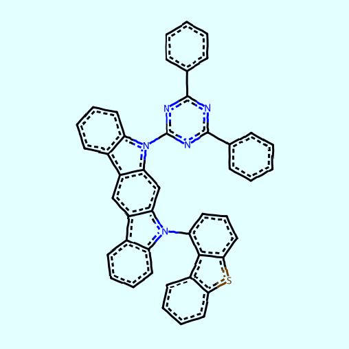 c1ccc(-c2nc(-c3ccccc3)nc(-n3c4ccccc4c4cc5c6ccccc6n(-c6cccc7sc8ccccc8c67)c5cc43)n2)cc1